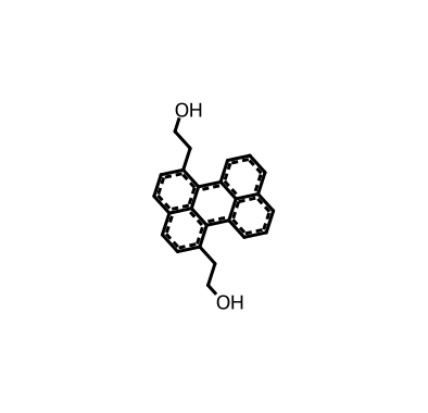 OCCc1ccc2ccc(CCO)c3c4cccc5cccc(c1c23)c54